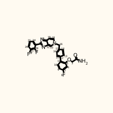 NC(=O)COc1cc(F)ccc1-c1ccc(Cn2ccc3nc(-c4cccc(F)c4F)nc-3c2)cc1